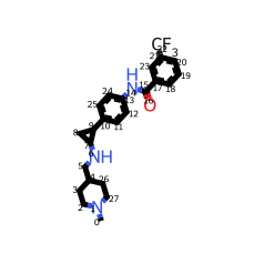 CN1CCC(CNC2CC2c2ccc(NC(=O)c3cccc(C(F)(F)F)c3)cc2)CC1